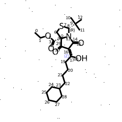 CCOC(=O)[C@]12CS[C@H](C(C)(C)C)N1C(=O)/C(=C(\O)CCCCC1CCCCC1)C2=O